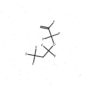 C=C(F)C(F)(F)OC(F)(F)CC(F)(F)F